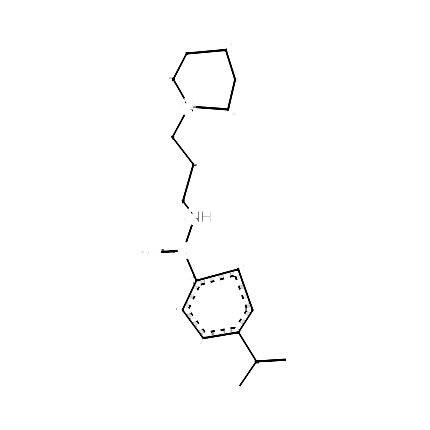 CC(C)c1ccc([S+]([O-])NCCCN2CCCCC2)cc1